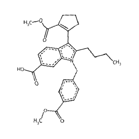 CCCCc1c(C2=C(C(=O)OC)CCC2)c2ccc(C(=O)O)cc2n1Cc1ccc(C(=O)OC)cc1